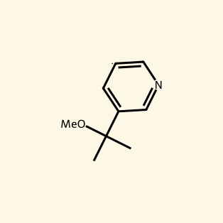 COC(C)(C)c1c[c]cnc1